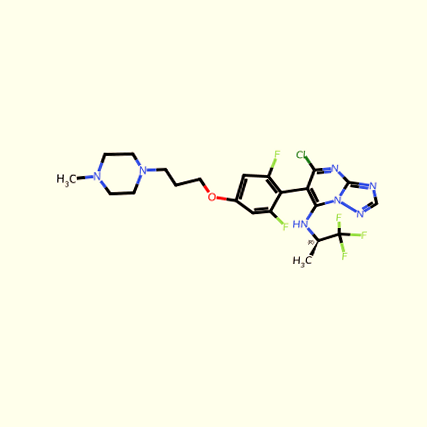 C[C@@H](Nc1c(-c2c(F)cc(OCCCN3CCN(C)CC3)cc2F)c(Cl)nc2ncnn12)C(F)(F)F